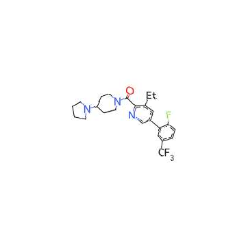 CCc1cc(-c2cc(C(F)(F)F)ccc2F)cnc1C(=O)N1CCC(N2CCCC2)CC1